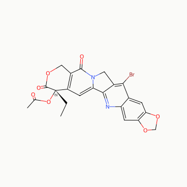 CC[C@@]1(OC(C)=O)C(=O)OCc2c1cc1n(c2=O)Cc2c-1nc1cc3c(cc1c2Br)OCO3